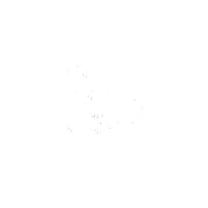 Cc1cc(Oc2ccccc2)ccc1N(C(=O)c1sc2nccc3c2c1NC(=O)N3)C1CCCN(C)C1